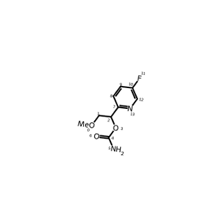 COCC(OC(N)=O)c1ccc(F)cn1